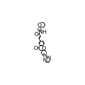 O=C(C=Cc1ccc2c(c1)C(=O)CC1(CCN(c3ncccn3)CC1)O2)NOC1CCCCO1